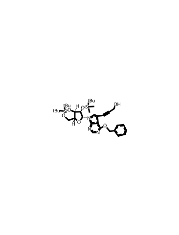 CC(C)(C)[Si](C)(C)O[C@@H]1[C@@H]2O[Si](C(C)(C)C)(C(C)(C)C)OC[C@H]2O[C@H]1n1cc(C#CCO)c2c(OCc3ccccc3)ncnc21